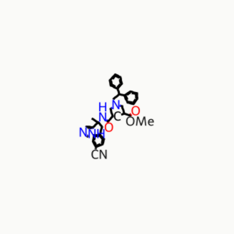 COC(=O)C1CC(C(=O)NC(C)(Cc2ccc(C#N)cc2)c2cnc[nH]2)CN(CC(c2ccccc2)c2ccccc2)C1